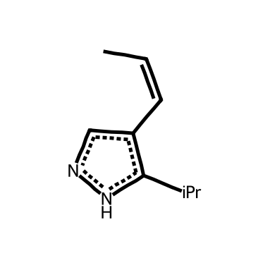 C/C=C\c1cn[nH]c1C(C)C